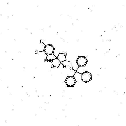 Fc1ccc(C23CO[C@H](COC(c4ccccc4)(c4ccccc4)c4ccccc4)[C@@H]2CON3)c(F)c1Cl